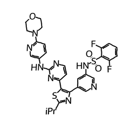 CC(C)c1nc(-c2cncc(NS(=O)(=O)c3c(F)cccc3F)c2)c(-c2ccnc(Nc3ccc(N4CCOCC4)nc3)n2)s1